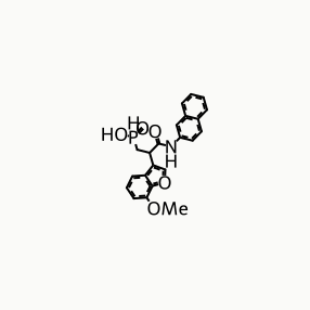 COc1cccc2c(C(C[PH](=O)O)C(=O)Nc3ccc4ccccc4c3)coc12